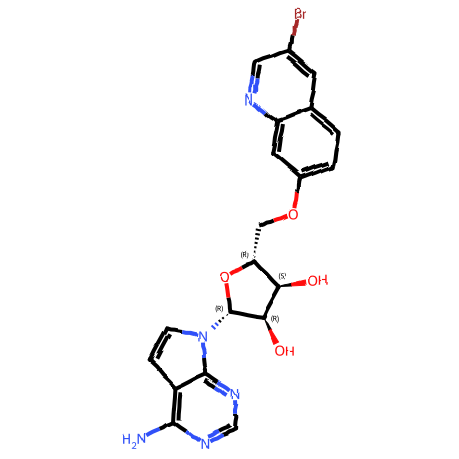 Nc1ncnc2c1ccn2[C@@H]1O[C@H](COc2ccc3cc(Br)cnc3c2)[C@@H](O)[C@H]1O